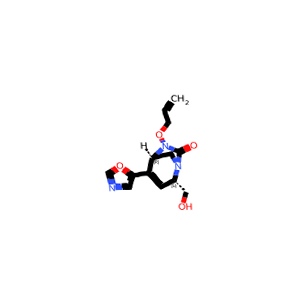 C=CCON1C(=O)N2C[C@H]1C(c1cnco1)=C[C@H]2CO